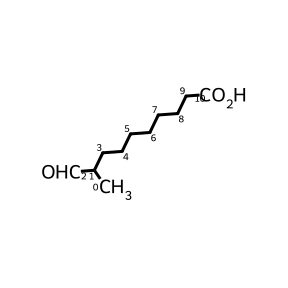 CC(C=O)CCCCCCCC(=O)O